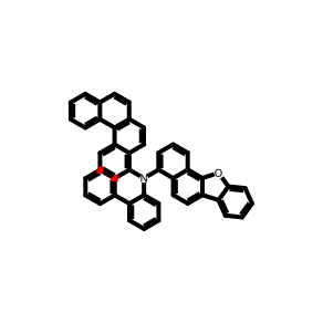 c1ccc(-c2ccccc2N(c2cccc3c2ccc2c4ccccc4oc32)c2cccc3c2ccc2ccc4ccccc4c23)cc1